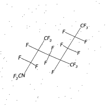 FC(F)(F)NC(F)(F)C(F)(C(F)(F)F)C(F)(F)C(F)(C(F)(F)F)C(F)(F)C(F)(F)C(F)(F)F